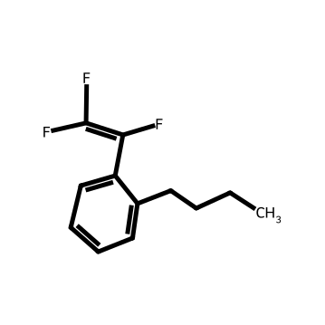 CCCCc1ccccc1C(F)=C(F)F